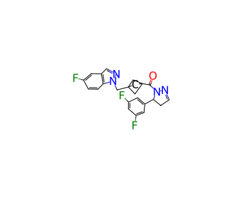 O=C(N1N=CCC1c1cc(F)cc(F)c1)C12CC(Cn3ncc4cc(F)ccc43)(C1)C2